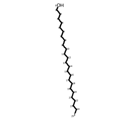 OCCCCCCCCCCCCCCCCCCCCCCCCI